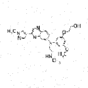 CNCCN(c1cc(OC)cc(OCCO)c1)c1ccc2ncc(-c3cnn(C)c3)nc2c1